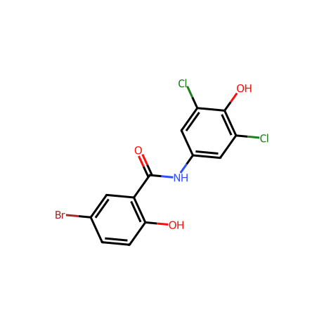 O=C(Nc1cc(Cl)c(O)c(Cl)c1)c1cc(Br)ccc1O